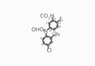 CC(C)c1cc(Cl)ccc1N(C=O)c1ccc(F)c(C(=O)O)c1